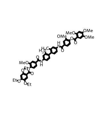 CCOc1cc(OCC)c(C(=O)Oc2ccc(C(=O)Nc3ccc(-c4ccc(NC(=O)c5ccc(OC(=O)c6cc(OC)c(OC)cc6OC)c(OC)c5)cc4C)c(C)c3)cc2OC)cc1OCC